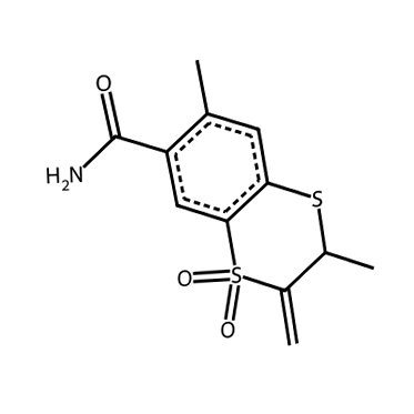 C=C1C(C)Sc2cc(C)c(C(N)=O)cc2S1(=O)=O